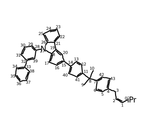 CC(C)/C=C\Cc1ccc(C(C)(C)c2ccc(-c3ccc4c(c3)c3ccccc3n4-c3cccc(-c4ccccc4)c3)cc2)cc1